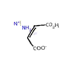 N.O=C([O-])/C=C\C(=O)O.[N+]